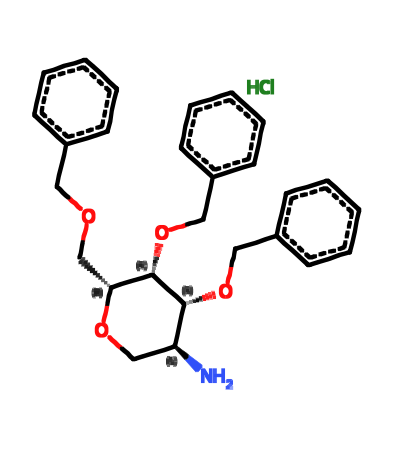 Cl.N[C@H]1CO[C@H](COCc2ccccc2)[C@H](OCc2ccccc2)[C@@H]1OCc1ccccc1